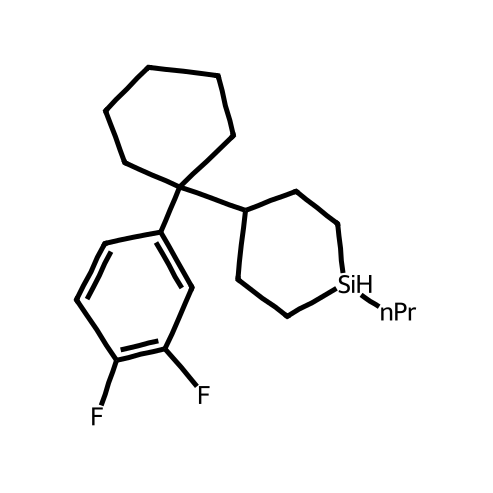 CCC[SiH]1CCC(C2(c3ccc(F)c(F)c3)CCCCC2)CC1